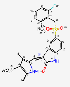 Cc1[nH]c(/C=C2\C(=O)Nc3ccc(S(=O)(=O)Cc4c(F)cccc4[N+](=O)[O-])cc32)c(C)c1C(=O)O